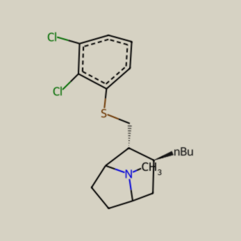 CCCC[C@H]1CC2CCC([C@@H]1CSc1cccc(Cl)c1Cl)N2C